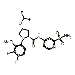 COc1c(N2C[C@H](OC(F)F)C[C@H]2C(=O)Nc2ccnc(S(N)(=O)=O)c2)ccc(F)c1F